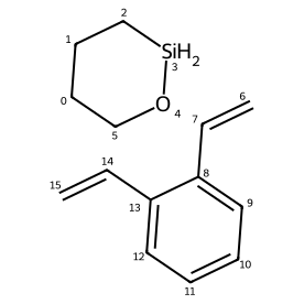 C1CC[SiH2]OC1.C=Cc1ccccc1C=C